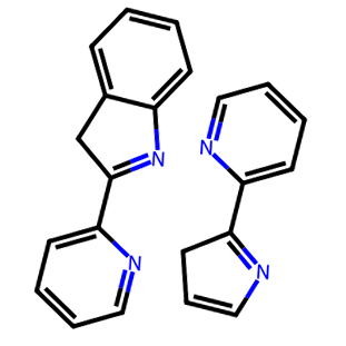 C1=CN=C(c2ccccn2)C1.c1ccc(C2=Nc3ccccc3C2)nc1